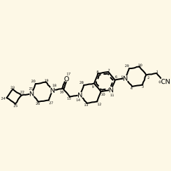 N#CCC1CCN(c2ccc3c(n2)CCN(CC(=O)N2CCN(C4CCC4)CC2)C3)CC1